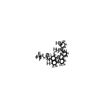 Cc1cc(N[S+]([O-])CCC(F)(F)F)c2ccccc2c1Oc1ncccc1-c1ccnc(N[C@H]2CCCNC2)n1